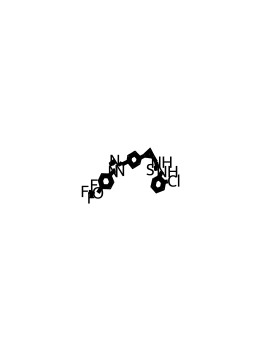 FC(F)(F)Oc1ccc(-n2cnc(-c3ccc(C4CC4NC(=S)Nc4ccccc4Cl)cc3)n2)cc1